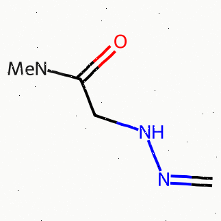 C=NNCC(=O)NC